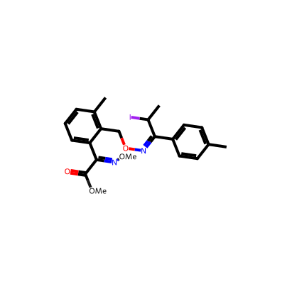 CO/N=C(/C(=O)OC)c1cccc(C)c1CO/N=C(/c1ccc(C)cc1)C(C)I